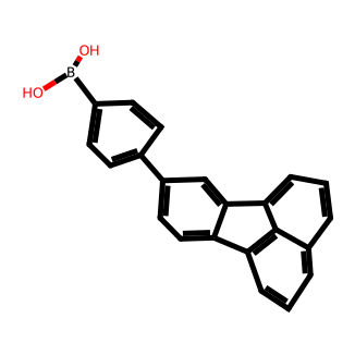 OB(O)c1ccc(-c2ccc3c(c2)-c2cccc4cccc-3c24)cc1